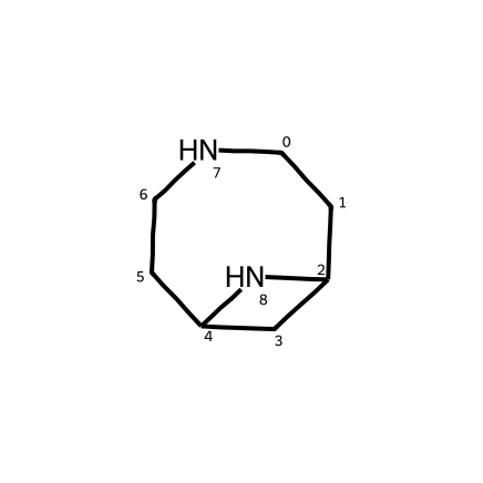 C1CC2CC(CCN1)N2